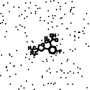 CC(C(=O)O)c1cc(F)ccc1C1CC(C)(C)CO1